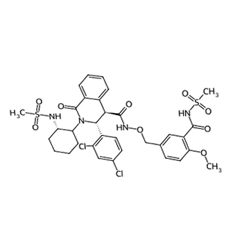 COc1ccc(CONC(=O)[C@@H]2c3ccccc3C(=O)N(C3CCCC[C@@H]3NS(C)(=O)=O)[C@H]2c2ccc(Cl)cc2Cl)cc1C(=O)NS(C)(=O)=O